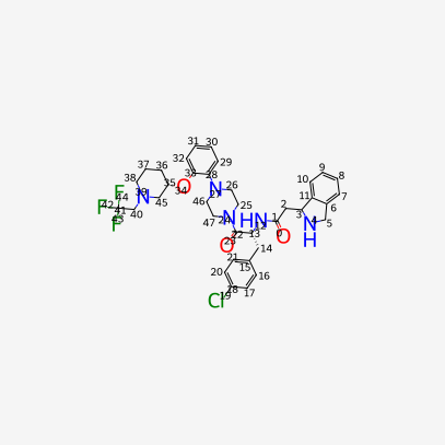 O=C(CC1NCc2ccccc21)N[C@H](Cc1ccc(Cl)cc1)C(=O)N1CCN(c2ccccc2O[C@H]2CCCN(CC(F)(F)F)C2)CC1